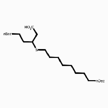 CCCCCCCCCCCCCCCCCCSC(CCCCCCCCCCCC)CC(=O)O